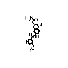 C=C[C@H]1CN(CC(N)=O)Cc2cc(NC(=O)c3cncc(CC(F)(F)F)c3)ccc21